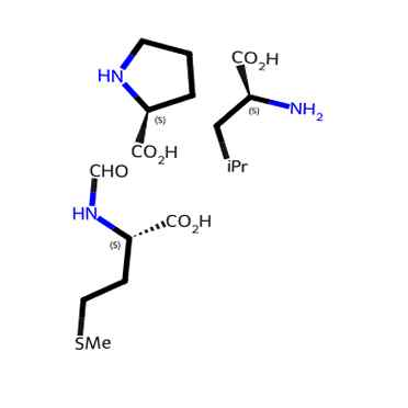 CC(C)C[C@H](N)C(=O)O.CSCC[C@H](NC=O)C(=O)O.O=C(O)[C@@H]1CCCN1